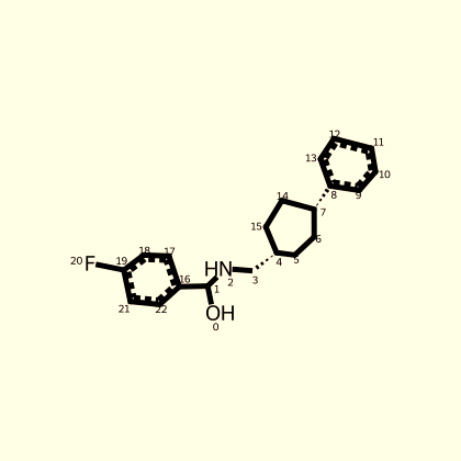 OC(NC[C@H]1CC[C@@H](c2ccccc2)CC1)c1ccc(F)cc1